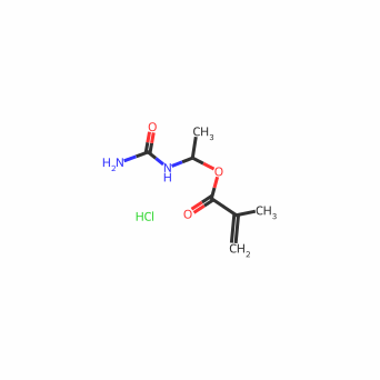 C=C(C)C(=O)OC(C)NC(N)=O.Cl